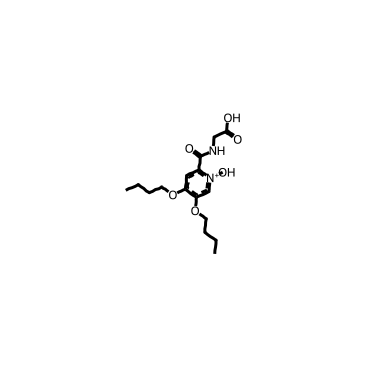 CCCCOc1cc(C(=O)NCC(=O)O)[n+](O)cc1OCCCC